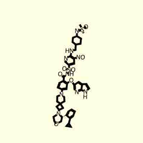 CS(C)(=O)=NC1CCC(CNc2ncc(S(=O)(=O)NC(=O)c3ccc(N4CCC5(CC4)CC(N4CCOC[C@H]4c4ccccc4C4CC4)C5)cc3Oc3cnc4[nH]ccc4c3)cc2N=O)CC1